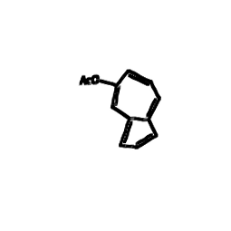 CC(=O)Oc1cccc2cccc-2c1